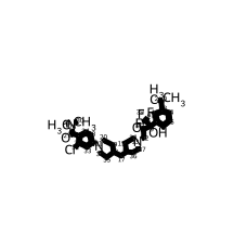 CC(C)c1cccc(C(O)(C(=O)CN2CCC(CC3CCN(c4ccc(C(=O)N(C)C)c(Cl)c4)CC3)CC2)C(F)(F)F)c1